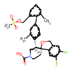 Cc1cc(-c2c(C)cccc2COS(C)(=O)=O)ccc1[C@H]1CN(C(=O)O)CC[C@@]12OCc1cc(F)c(F)cc12